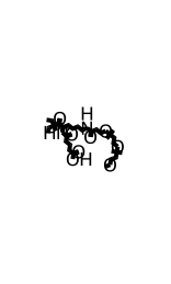 CCC(C)(CC)C(=O)C(CCCCNC(=O)CCOC(C)(C)CCOC(C)(C)CCOC)NC(=O)CCCC(=O)O